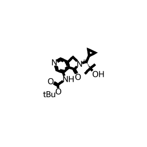 CC(C)(C)OC(=O)Nc1cncc2c1C(=O)N([C@H](C1CC1)C(C)(C)O)C2